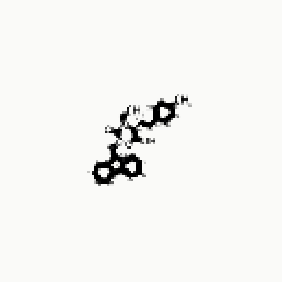 CCN(C(=O)OCC1c2ccccc2-c2ccccc21)[C@@H](CCc1ccc(C)cc1)C(=O)O